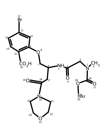 CN(CC(=O)NC(COc1cc(Br)ccc1C(=O)O)CC(=O)N1CCOCC1)C(=O)OC(C)(C)C